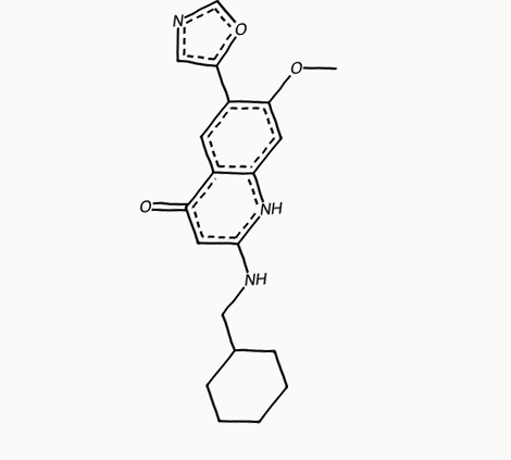 COc1cc2[nH]c(NCC3CCCCC3)cc(=O)c2cc1-c1cnco1